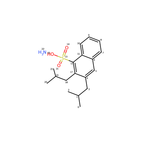 CC(C)Cc1cc2ccccc2c(S(=O)(=O)O)c1CC(C)C.N